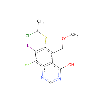 COCc1c(SC(C)Cl)c(I)c(F)c2ncnc(O)c12